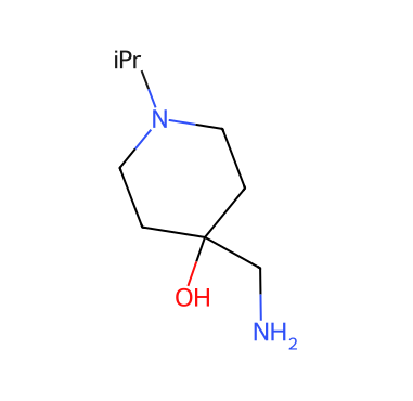 CC(C)N1CCC(O)(CN)CC1